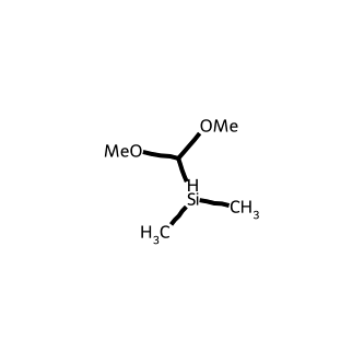 COC(OC)[SiH](C)C